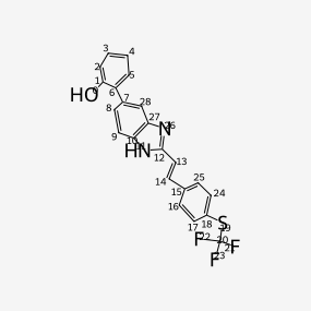 Oc1ccccc1-c1ccc2[nH]c(C=Cc3ccc(SC(F)(F)F)cc3)nc2c1